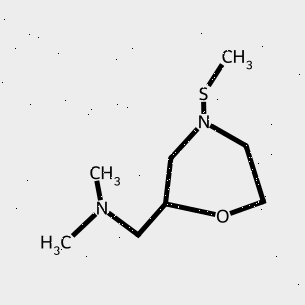 CSN1CCOC(CN(C)C)C1